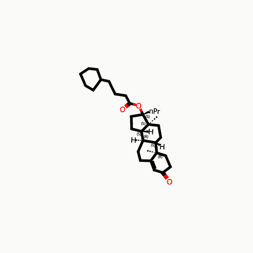 CCC[C@]1(OC(=O)CCCC2CCCCC2)CC[C@H]2[C@@H]3CCC4=CC(=O)CC[C@]4(C)[C@H]3CC[C@@]21C